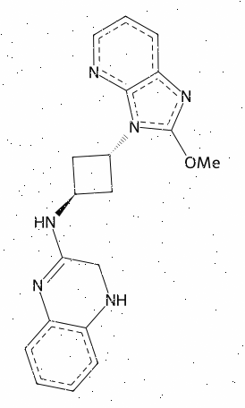 COc1nc2cccnc2n1[C@H]1C[C@H](NC2=Nc3ccccc3NC2)C1